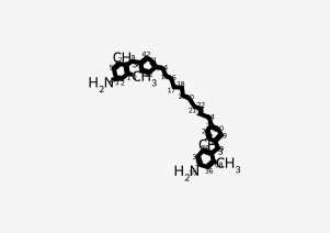 Cc1cc(N)cc(C)c1Cc1ccc(CCCCCCCCCCCc2ccc(Cc3c(C)cc(N)cc3C)cc2)cc1